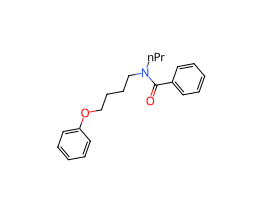 CCCN(CCCCOc1ccccc1)C(=O)c1ccccc1